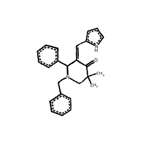 CC1(C)CN(Cc2ccccc2)C(c2ccccc2)C(=Cc2ccc[nH]2)C1=O